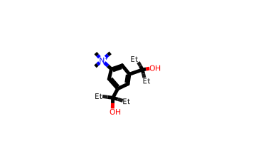 CCC(O)(CC)c1cc(C(O)(CC)CC)cc([N+](C)(C)C)c1